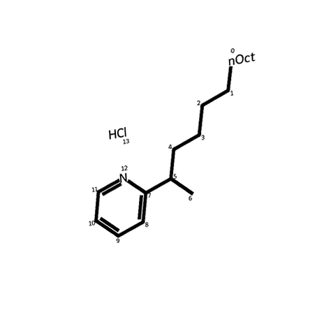 CCCCCCCCCCCCC(C)c1ccccn1.Cl